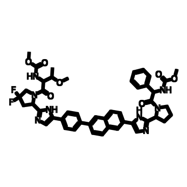 COC(=O)NC(C(=O)N1CCCC1c1ncc(-c2ccc3cc(-c4ccc(-c5cnc(C6CC(F)(F)CN6C(=O)C(NC(=O)OC)C(C)OC)[nH]5)cc4)ccc3c2)[nH]1)c1ccccc1